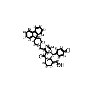 O=C(c1c(CN2CCC(c3ccccc3)(c3ccccc3)CC2)ncn1Cc1ccc(Cl)cc1)N1CCCC(CO)C1